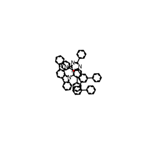 c1ccc(-c2cc(-c3nc(-c4ccccc4)nc(-n4c5ccccc5c5ccc6c7ccccc7n(-c7c(-c8ccccc8)cccc7-c7ccccc7)c6c54)n3)cc(-c3ccccc3-c3ccccc3)c2)cc1